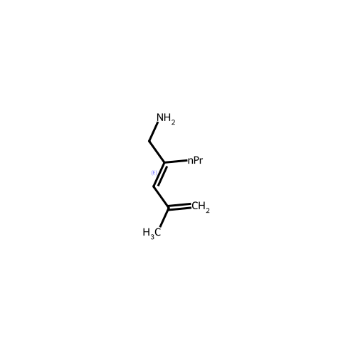 C=C(C)/C=C(/CN)CCC